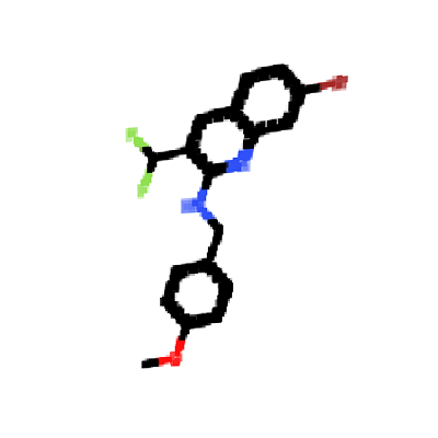 COc1ccc(CNc2nc3cc(Br)ccc3cc2C(F)F)cc1